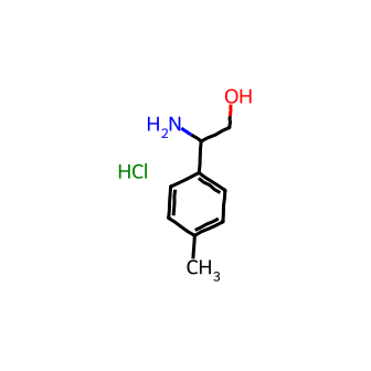 Cc1ccc(C(N)CO)cc1.Cl